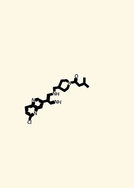 CC(C)CC(=O)N1CCC(CN/C=C(\C=N)c2cnc3ccc(Cl)nc3c2)CC1